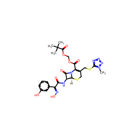 Cn1nnnc1SCC1=C(C(=O)OCOC(=O)C(C)(C)C)N2C(=O)C(NC(=O)C(=NO)c3cccc(O)c3)[C@@H]2SC1